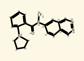 O=C(c1ccccc1N1CCCC1)N(c1ccc2cnncc2c1)C(F)(F)F